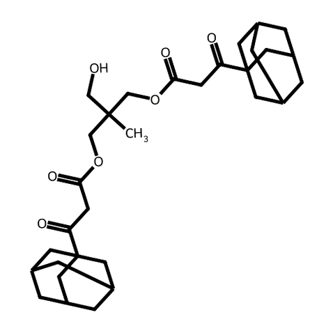 CC(CO)(COC(=O)CC(=O)C12CC3CC(CC(C3)C1)C2)COC(=O)CC(=O)C12CC3CC(CC(C3)C1)C2